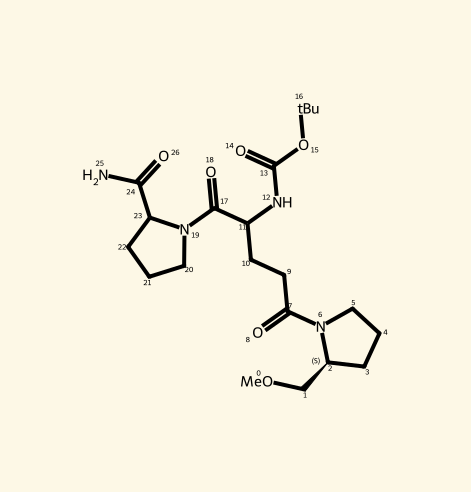 COC[C@@H]1CCCN1C(=O)CCC(NC(=O)OC(C)(C)C)C(=O)N1CCCC1C(N)=O